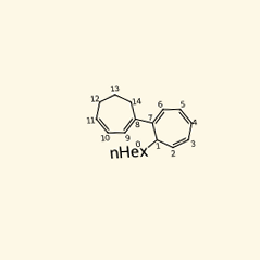 CCCCCCC1C=CC=CC=C1C1=CC=CCCC1